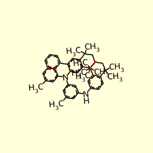 Cc1cccc(N(c2cc(C)cc(Nc3ccc4c(c3)C(C)(C)CCC4(C)C)c2)c2cc3c(cc2-c2ccccc2)C(C)(C)CCC3(C)C)c1